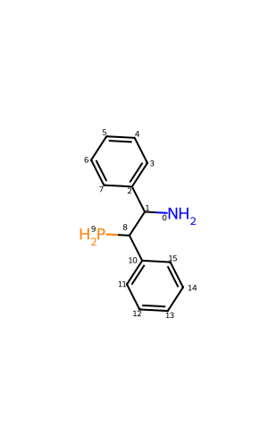 NC(c1ccccc1)C(P)c1ccccc1